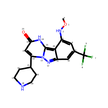 CONc1cc(C(F)(F)F)cc2nn3c(C4CCNCC4)cc(=O)[nH]c3c12